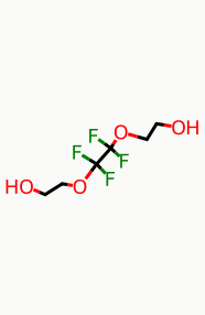 OCCOC(F)(F)C(F)(F)OCCO